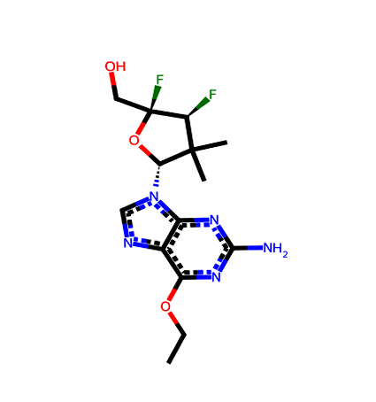 CCOc1nc(N)nc2c1ncn2[C@@H]1O[C@](F)(CO)[C@@H](F)C1(C)C